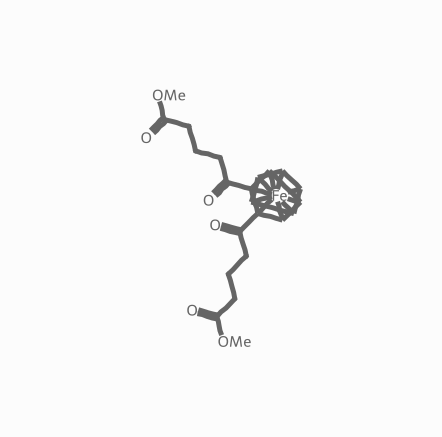 COC(=O)CCCC(=O)[C]12[CH]3[CH]4[CH]5[C]1(C(=O)CCCC(=O)OC)[Fe]43521678[CH]2[CH]1[CH]6[CH]7[CH]28